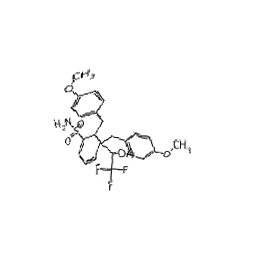 COc1ccc(CC2C(S(N)(=O)=O)=CC=CC2(Cc2ccc(OC)cc2)C(O)C(F)(F)F)cc1